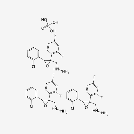 NNCC1(c2ccc(F)cc2F)OC1c1ccccc1Cl.NNCC1(c2ccc(F)cc2F)OC1c1ccccc1Cl.NNCC1(c2ccc(F)cc2F)OC1c1ccccc1Cl.O=P(O)(O)O